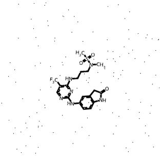 CN(CCCNc1nc(Nc2ccc3c(c2)CC(=O)N3)ncc1C(F)(F)F)S(C)(=O)=O